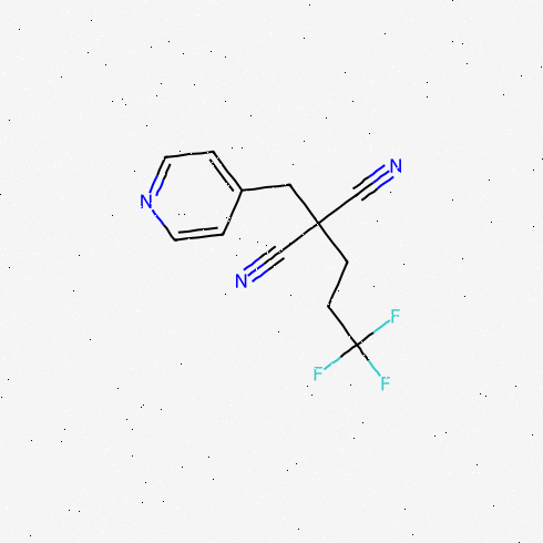 N#CC(C#N)(CCC(F)(F)F)Cc1ccncc1